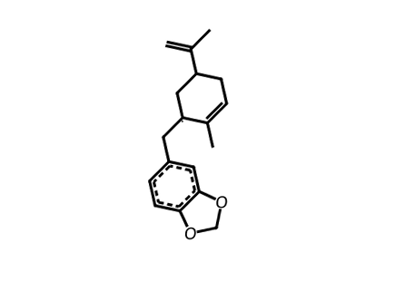 C=C(C)C1CC=C(C)[C](Cc2ccc3c(c2)OCO3)C1